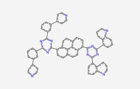 c1cc(-c2ccncc2)cc(-c2nc(-c3cccc(-c4ccncc4)c3)nc(-c3ccc4ccc5c(-c6nc(-c7cccc8ncccc78)nc(-c7cccc8ncccc78)n6)ccc6ccc3c4c65)n2)c1